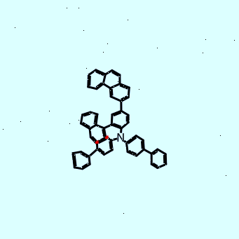 c1ccc(-c2ccc(N(c3ccc(-c4ccccc4)cc3)c3ccc(-c4ccc5ccc6ccccc6c5c4)cc3-c3cccc4ccccc34)cc2)cc1